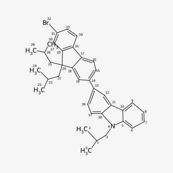 CC(C)Cn1c2ccccc2c2cc(-c3ccc4c(c3)C(CC(C)C)(CC(C)C)c3cc(Br)ccc3-4)ccc21